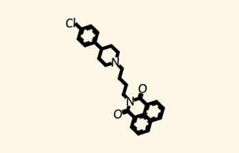 O=C1c2cccc3cccc(c23)C(=O)N1CCCCN1CCC(c2ccc(Cl)cc2)CC1